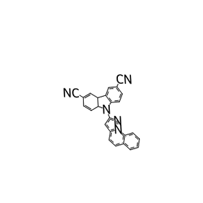 N#CC1=CC2c3cc(C#N)ccc3N(c3cc4ccc5ccccc5n4n3)C2C=C1